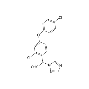 O=CC(c1ccc(Oc2ccc(Cl)cc2)cc1Cl)n1cncn1